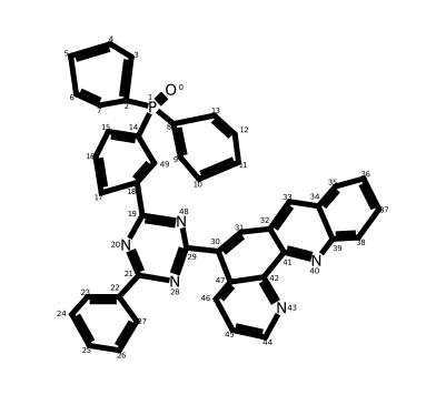 O=P(c1ccccc1)(c1ccccc1)c1cccc(-c2nc(-c3ccccc3)nc(-c3cc4cc5ccccc5nc4c4ncccc34)n2)c1